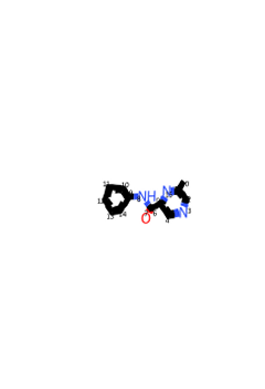 Cc1cncc(C(=O)Nc2ccccc2)n1